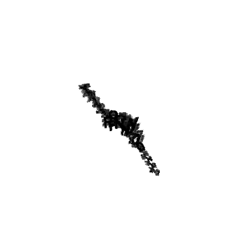 CCCCCCCCOc1ccc(-c2cnc(-c3ccc4c(n3)C(F)(F)C(CCCCCCCCCC3CC3)O4)nc2)cc1